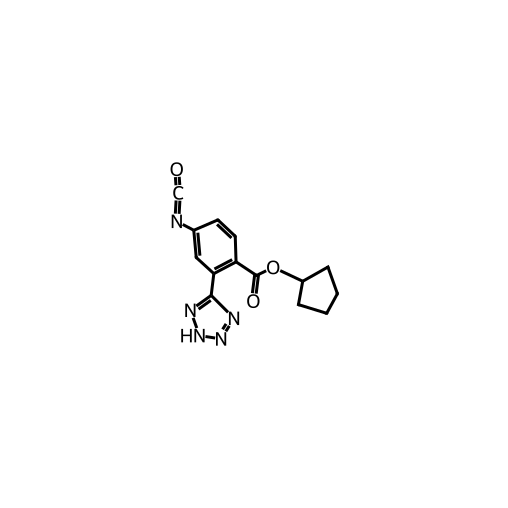 O=C=Nc1ccc(C(=O)OC2CCCC2)c(-c2nn[nH]n2)c1